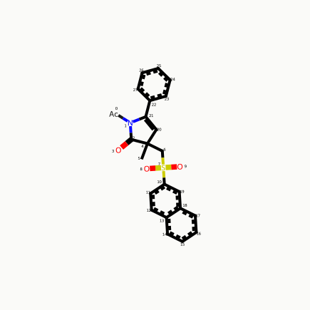 CC(=O)N1C(=O)C(C)(CS(=O)(=O)c2ccc3ccccc3c2)C=C1c1ccccc1